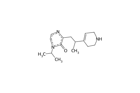 CC(Cc1nccn(C(C)C)c1=O)C1=CCNCC1